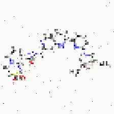 C[C@@H]1CN(c2cccc(-c3ccc4cnc(CNC(=O)C5=CC=CN6CCS(=O)(=O)N=C56)cc4n3)n2)C[C@H](C)O1